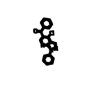 O=C(c1ccccc1)c1cnc2c(cnn2-c2ccccc2)c1Cl